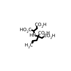 C=CCC(CC(=O)O)(NC(CC(=O)O)C(=O)O)C(=O)O